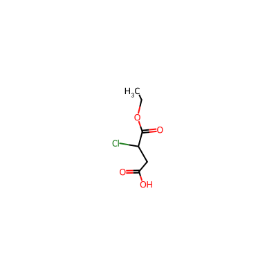 CCOC(=O)C(Cl)CC(=O)O